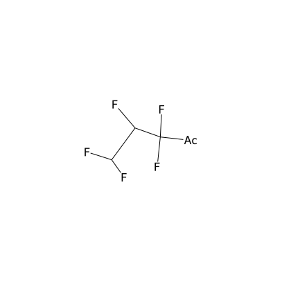 CC(=O)C(F)(F)C(F)C(F)F